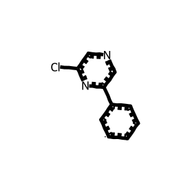 Clc1cncc(-c2c[c]ccc2)n1